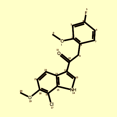 COc1cc(F)ccc1CC(=O)c1c[nH]c2c(Cl)c(OC)ccc12